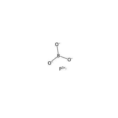 [O-]B([O-])[O-].[P+3]